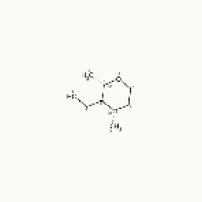 C[C@@H]1OCC[C@H](C)C1CO